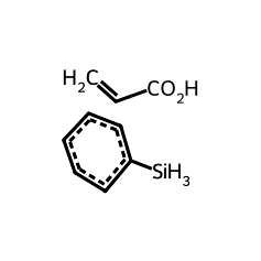 C=CC(=O)O.[SiH3]c1ccccc1